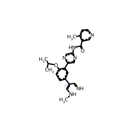 CN/C=C(\C=N)c1ccc(OC(C)C)c(-c2cnc(NC(=O)c3cnccc3C)cn2)c1